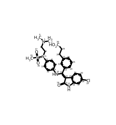 CN(C)CCN(c1ccc(N/C(=C2\C(=O)Nc3cc(Cl)ccc32)c2cccc(CCC(=O)O)c2)cc1)S(C)(=O)=O